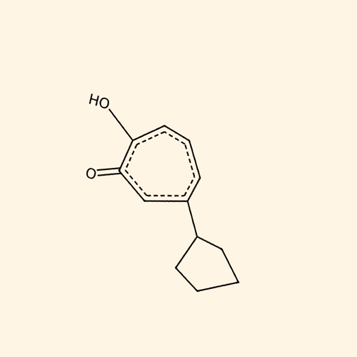 O=c1cc(C2CCCC2)cccc1O